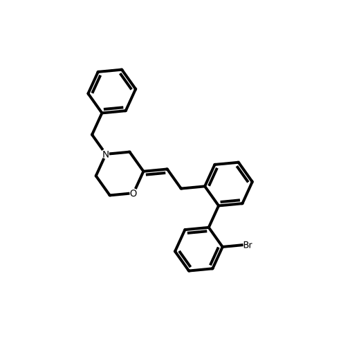 Brc1ccccc1-c1ccccc1C/C=C1/CN(Cc2ccccc2)CCO1